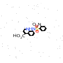 O=C(O)c1ccnc2c(NS(=O)(=O)c3ccccc3[N+](=O)[O-])cccc12